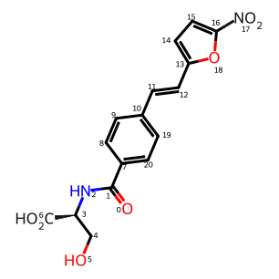 O=C(N[C@@H](CO)C(=O)O)c1ccc(C=Cc2ccc([N+](=O)[O-])o2)cc1